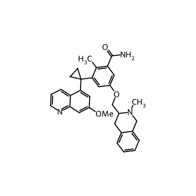 COc1cc(C2(c3cc(OCC4Cc5ccccc5CN4C)cc(C(N)=O)c3C)CC2)c2cccnc2c1